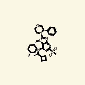 C[C@@H](Nc1nc(S(C)(=O)=O)nc2nc(N3CCOC[C@H]3c3ccccc3)n(C[C@H]3CC[C@H](C)CC3)c12)C1CCC1